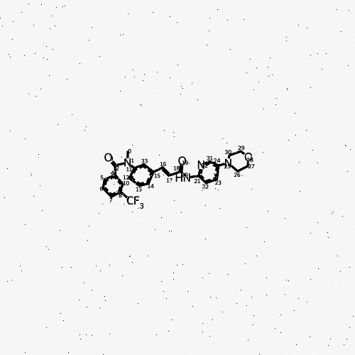 CN(C(=O)c1cccc(C(F)(F)F)c1)c1cccc(C=CC(=O)Nc2ccc(N3CCOCC3)cn2)c1